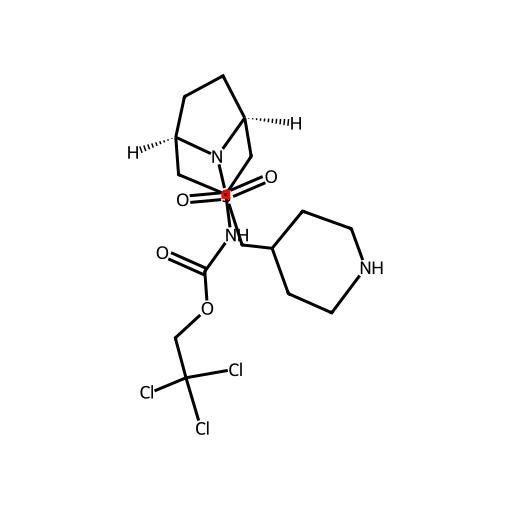 O=C(NC1C[C@H]2CC[C@@H](C1)N2S(=O)(=O)CC1CCNCC1)OCC(Cl)(Cl)Cl